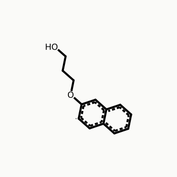 OCCCOc1[c]cc2ccccc2c1